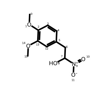 COc1ccc(CC(O)[N+](=O)[O-])cc1OC